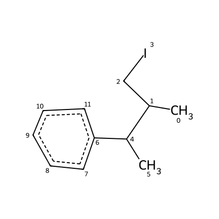 CC(CI)C(C)c1ccccc1